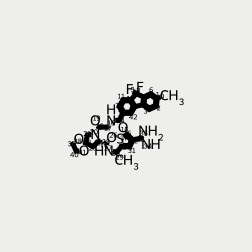 Cc1ccc2c(c1)C(F)(F)c1ccc(C(=O)NCC(=O)N3CC4(C[C@H]3C(=O)NC(C)c3cc(C(=N)N)cs3)OCCO4)cc1-2